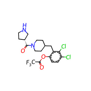 O=C([C@@H]1CCNC1)N1CCC(Cc2c(OC(=O)C(F)(F)F)ccc(Cl)c2Cl)CC1